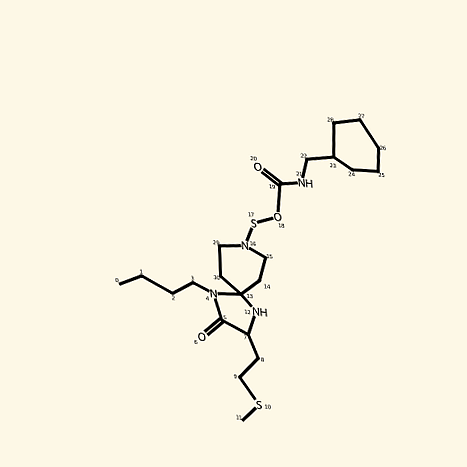 CCCCN1C(=O)C(CCSC)NC12CCN(SOC(=O)NCC1CCCCC1)CC2